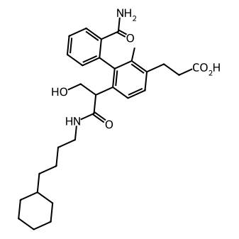 Cc1c(CCC(=O)O)ccc(C(CO)C(=O)NCCCCC2CCCCC2)c1-c1ccccc1C(N)=O